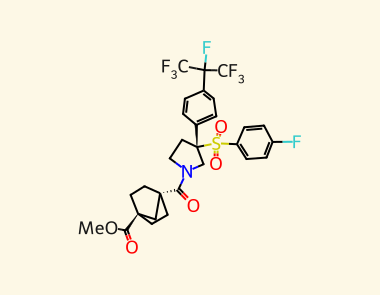 COC(=O)[C@]12CC[C@@](C(=O)N3CC[C@](c4ccc(C(F)(C(F)(F)F)C(F)(F)F)cc4)(S(=O)(=O)c4ccc(F)cc4)C3)(CC1)C2